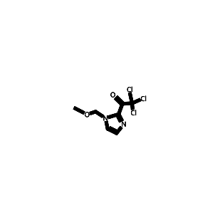 COCn1ccnc1C(=O)C(Cl)(Cl)Cl